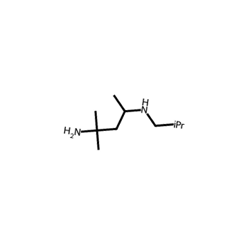 CC(C)CNC(C)CC(C)(C)N